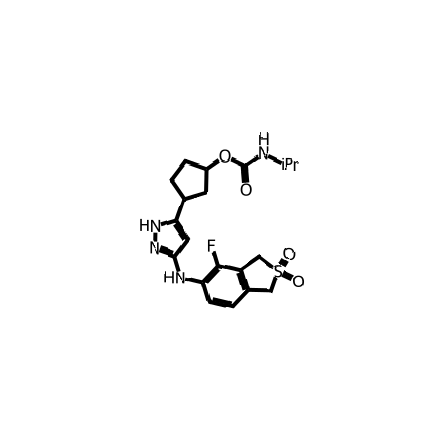 CC(C)NC(=O)OC1CCC(c2cc(Nc3ccc4c(c3F)CS(=O)(=O)C4)n[nH]2)C1